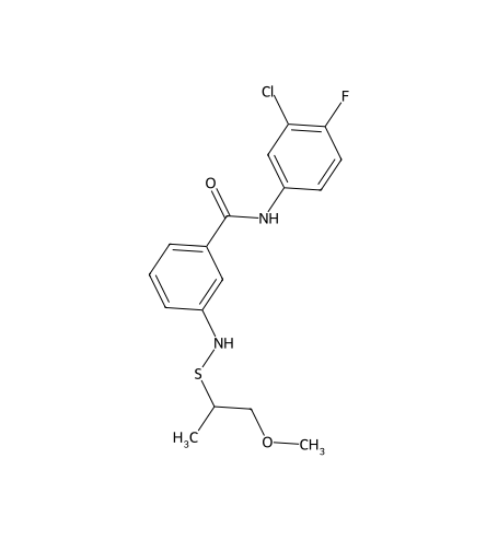 COCC(C)SNc1cccc(C(=O)Nc2ccc(F)c(Cl)c2)c1